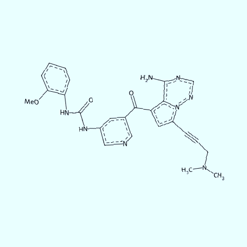 COc1ccccc1NC(=O)Nc1cncc(C(=O)c2cc(C#CCN(C)C)n3ncnc(N)c23)c1